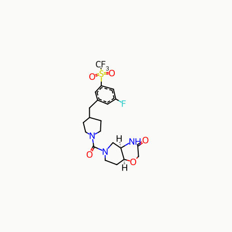 O=C1CO[C@H]2CCN(C(=O)N3CCC(Cc4cc(F)cc(S(=O)(=O)C(F)(F)F)c4)CC3)C[C@H]2N1